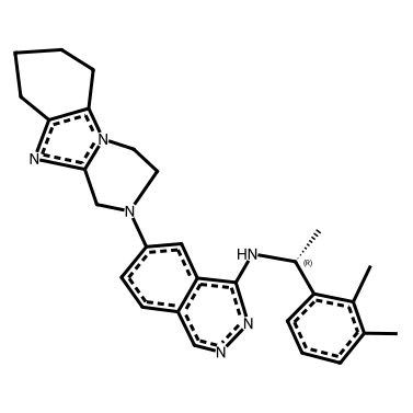 Cc1cccc([C@@H](C)Nc2nncc3ccc(N4CCn5c(nc6c5CCCC6)C4)cc23)c1C